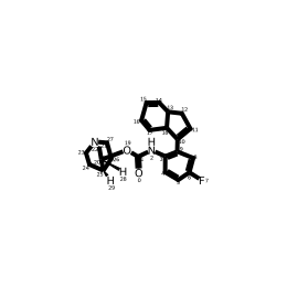 O=C(Nc1ccc(F)cc1C1=CCC2C=CC=CC12)O[C@H]1C[N@]2CC[C@H]1CC2